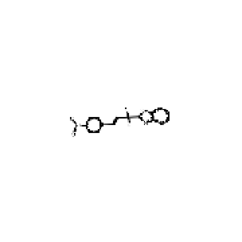 O=[N+]([O-])c1ccc(/C=C/C(F)(F)c2nc3ccccc3o2)cc1